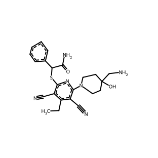 CCc1c(C#N)c(SC(C(N)=O)c2ccccc2)nc(N2CCC(O)(CN)CC2)c1C#N